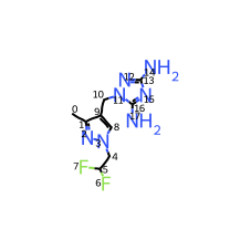 Cc1nn(CC(F)F)cc1Cn1nc(N)nc1N